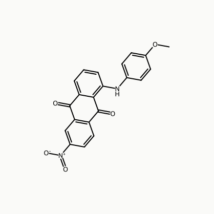 COc1ccc(Nc2cccc3c2C(=O)c2ccc([N+](=O)[O-])cc2C3=O)cc1